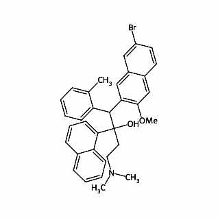 COc1cc2ccc(Br)cc2cc1C(c1ccccc1C)C(O)(CCN(C)C)c1cccc2ccccc12